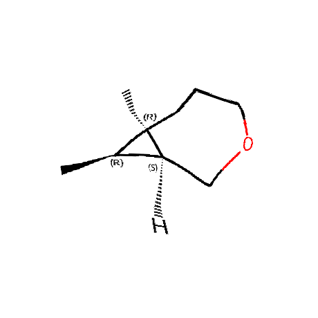 C[C@@H]1[C@@H]2COCC[C@]12C